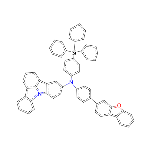 c1ccc([Si](c2ccccc2)(c2ccccc2)c2ccc(N(c3ccc(-c4ccc5c(c4)oc4ccccc45)cc3)c3ccc4c(c3)c3cccc5c6ccccc6n4c53)cc2)cc1